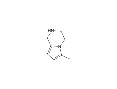 Cc1ccc2n1CCNC2